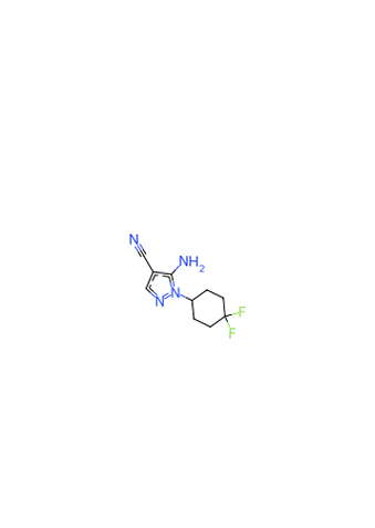 N#Cc1cnn(C2CCC(F)(F)CC2)c1N